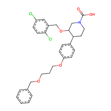 O=C(O)N1CCC(c2ccc(OCCCOCc3ccccc3)cc2)C(OCc2cc(Cl)ccc2Cl)C1